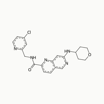 O=C(NCc1cc(Cl)ccn1)c1ccc2cnc(NC3CCOCC3)cc2n1